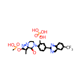 Cc1cc(-c2ncc3cc(C(F)(F)F)ccc3n2)ccc1N1CCn2nc(OP(C)(=O)O)c(C)c2C1=O.O=P(O)(O)O